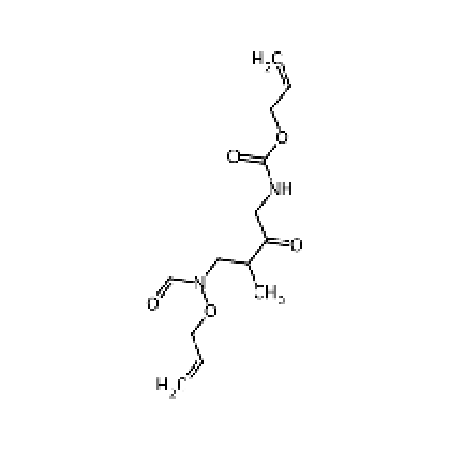 C=CCOC(=O)NCC(=O)C(C)CN(C=O)OCC=C